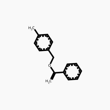 C=C(OCc1ccc(C)cc1)c1ccccc1